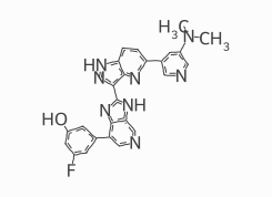 CN(C)c1cncc(-c2ccc3[nH]nc(-c4nc5c(-c6cc(O)cc(F)c6)cncc5[nH]4)c3n2)c1